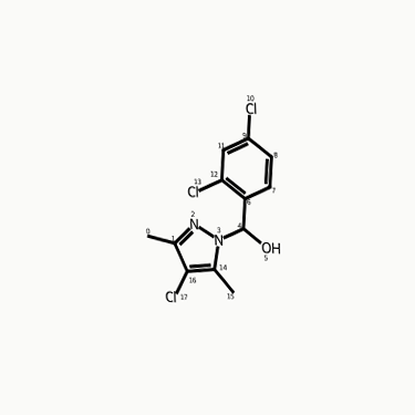 Cc1nn(C(O)c2ccc(Cl)cc2Cl)c(C)c1Cl